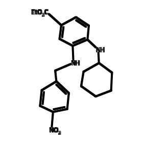 CCOC(=O)c1ccc(NC2CCCCC2)c(NCc2ccc([N+](=O)[O-])cc2)c1